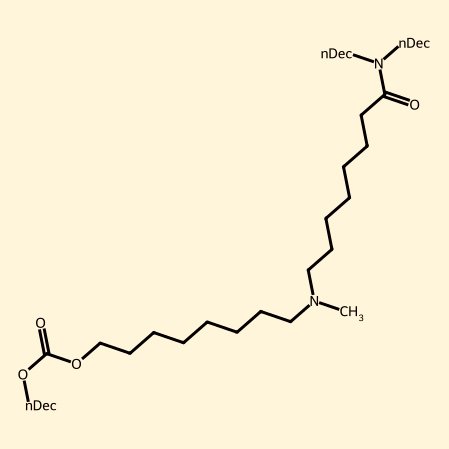 CCCCCCCCCCOC(=O)OCCCCCCCCN(C)CCCCCCCC(=O)N(CCCCCCCCCC)CCCCCCCCCC